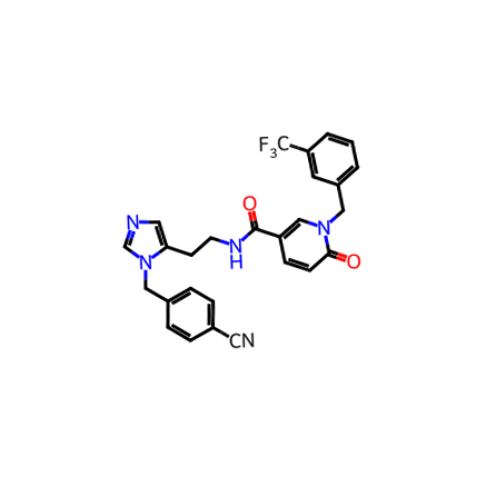 N#Cc1ccc(Cn2cncc2CCNC(=O)c2ccc(=O)n(Cc3cccc(C(F)(F)F)c3)c2)cc1